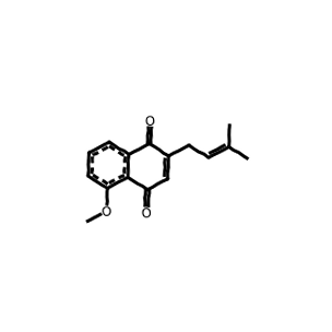 COc1cccc2c1C(=O)C=C(CC=C(C)C)C2=O